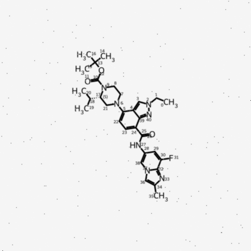 CCn1cc2c(N3CCN(C(=O)OC(C)(C)C)[C@@H](C(C)C)C3)ccc(C(=O)Nc3cc(F)c4nc(C)cn4c3)c2n1